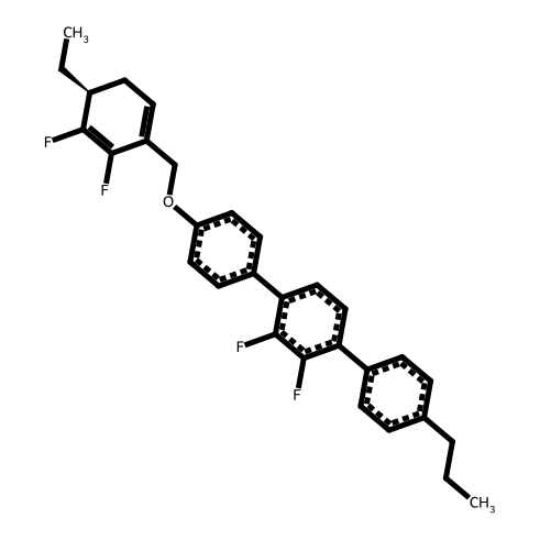 CCCc1ccc(-c2ccc(-c3ccc(OCC4=CC[C@H](CC)C(F)=C4F)cc3)c(F)c2F)cc1